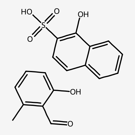 Cc1cccc(O)c1C=O.O=S(=O)(O)c1ccc2ccccc2c1O